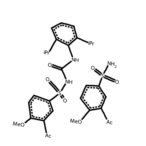 COc1ccc(S(=O)(=O)NC(=O)Nc2c(C(C)C)cccc2C(C)C)cc1C(C)=O.COc1ccc(S(N)(=O)=O)cc1C(C)=O